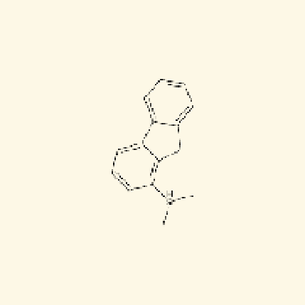 C[SiH](C)c1cccc2c1[CH]c1ccccc1-2